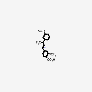 COc1cccc(C(/C=C/c2ccc(C(=O)O)c(C(F)(F)F)c2)C(F)(F)F)c1